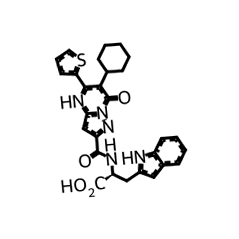 O=C(N[C@@H](Cc1cc2ccccc2[nH]1)C(=O)O)c1cc2[nH]c(-c3cccs3)c(C3CCCCC3)c(=O)n2n1